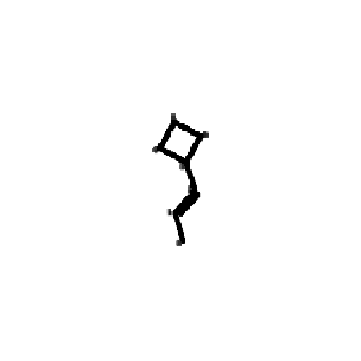 CC=CC1CCC1